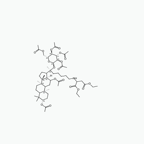 CCOC(=O)CC(NCCCCC[C@](C)(O[C@H]1O[C@H](COC(C)=O)[C@@H](OC(C)=O)[C@H](OC(C)=O)[C@H]1OC(C)=O)C1CC[C@]2(C)[C@@H]1C(OC(C)=O)CC1[C@@]3(C)CC[C@H](OC(C)=O)C(C)(C)C3CC[C@]12C)C(=O)OCC